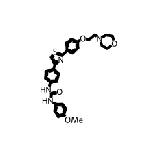 COc1ccc(NC(=O)Nc2ccc(-c3csc(-c4ccc(OCCN5CCOCC5)cc4)n3)cc2)cc1